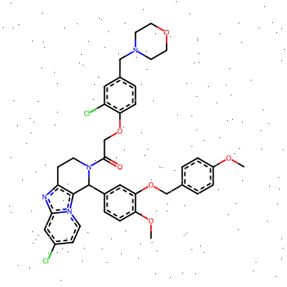 COc1ccc(COc2cc(C3c4c(nc5cc(Cl)ccn45)CCN3C(=O)COc3ccc(CN4CCOCC4)cc3Cl)ccc2OC)cc1